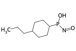 CCCC1CCC(P(O)N=O)CC1